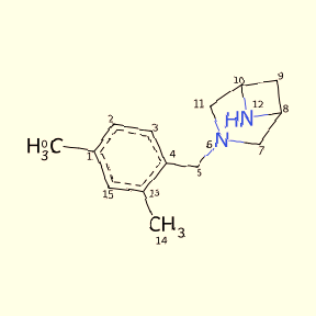 Cc1ccc(CN2CC3CC(C2)N3)c(C)c1